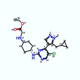 Cn1ncc(-c2nc(N[C@H]3CC[C@H](NCC(=O)OC(C)(C)C)CC3)ncc2Cl)c1CC1CC1